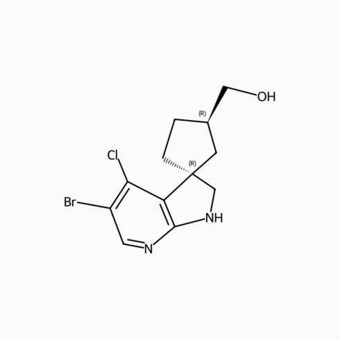 OC[C@@H]1CC[C@@]2(CNc3ncc(Br)c(Cl)c32)C1